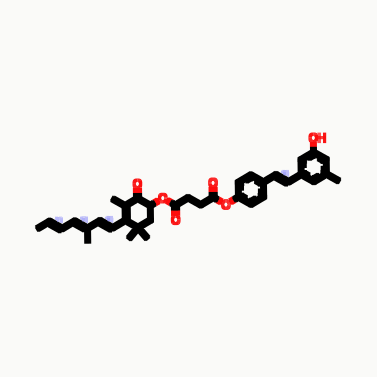 C/C=C/C=C(C)/C=C/C1=C(C)C(=O)C(OC(=O)CCC(=O)Oc2ccc(/C=C/c3cc(C)cc(O)c3)cc2)CC1(C)C